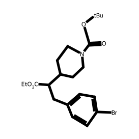 CCOC(=O)C(Cc1ccc(Br)cc1)C1CCN(C(=O)OC(C)(C)C)CC1